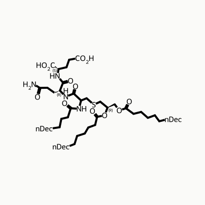 CCCCCCCCCCCCCCCC(=O)OC[C@H](CSCC(NC(=O)CCCCCCCCCCCCC)C(=O)N[C@H](CCC(N)=O)C(=O)N[C@@H](CCC(=O)O)C(=O)O)OC(=O)CCCCCCCCCCCCCCC